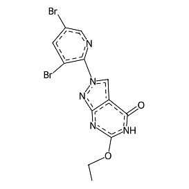 CCOc1nc2nn(-c3ncc(Br)cc3Br)cc2c(=O)[nH]1